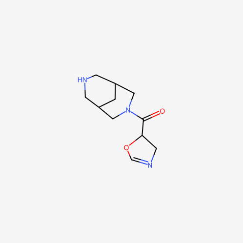 O=C(C1CN=CO1)N1CC2CNCC(C2)C1